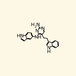 Nc1ncc(CCc2c[nH]c3ccccc23)c(Nc2ccc3[nH]ccc3c2)n1